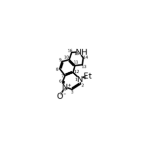 CCN1C=C[N+]([O-])=Cc2ccc3c(c21)CCNC3